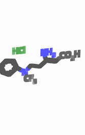 Cl.NC(=CC(=O)O)CCN(c1ccccc1)C(F)(F)F